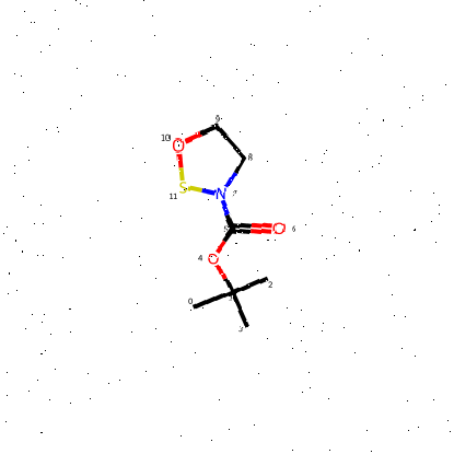 CC(C)(C)OC(=O)N1CCOS1